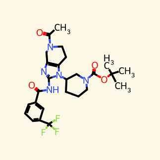 CC(=O)N1CCc2c(nc(NC(=O)c3cccc(C(F)(F)F)c3)n2C2CCCN(C(=O)OC(C)(C)C)C2)C1